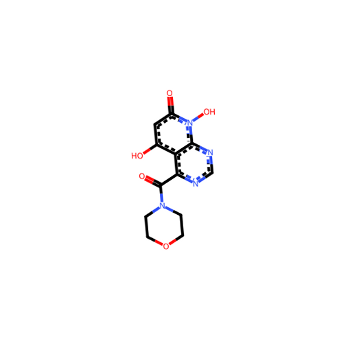 O=C(c1ncnc2c1c(O)cc(=O)n2O)N1CCOCC1